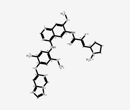 COc1cc2ncnc(Nc3cc(C)c(Oc4cc5ncnn5cn4)cc3OC)c2cc1NC(=O)C(F)=CC1CCCN1C